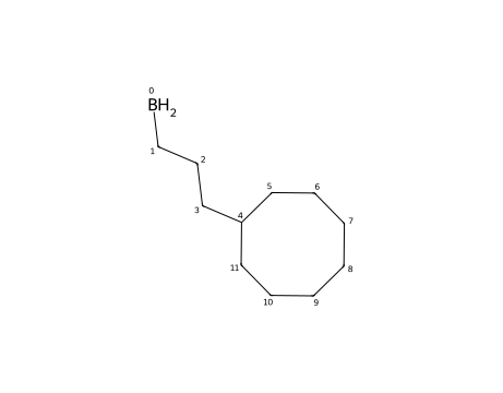 BCCCC1CCCCCCC1